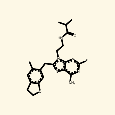 Cc1cc2c(cc1Cc1nc3c(N)nc(F)nc3n1CCNC(=O)C(C)C)OCC2